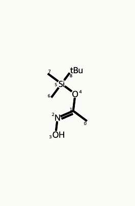 CC(=NO)O[Si](C)(C)C(C)(C)C